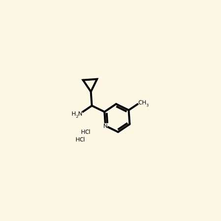 Cc1ccnc(C(N)C2CC2)c1.Cl.Cl